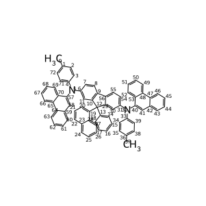 Cc1ccc(N(c2ccc3c(c2)C(c2ccccc2)(c2cccc4ccccc24)c2cc(N(c4ccc(C)cc4)c4cc5ccccc5c5ccccc45)ccc2-3)c2cc3ccccc3c3ccccc23)cc1